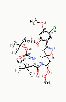 COO[C@@H]1C[C@]2(CC(c3cc(Cl)c(OC)cc3OC)=NO2)CN1C(=O)[C@@H](NC(=O)OC(C)(C)C)C(C)(C)C